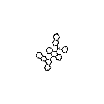 C1=c2cc3c(-c4c5ccccc5c(N(c5ccccc5)c5ccc6ccccc6c5)c5ccccc45)cc4ccccc4c3cc2=CCC1